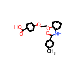 Cc1ccc(C(=O)Nc2ccccc2OCCOc2ccc(C(=O)O)cc2)cc1